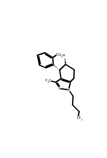 O=C(O)c1ccccc1[C@H]1c2c(C(F)(F)F)nn(CCCC(F)(F)F)c2CC[C@@H]1F